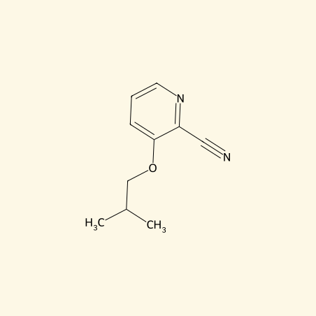 CC(C)COc1cccnc1C#N